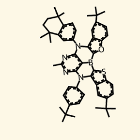 Cc1nc2c3c(n1)N(c1ccc(C(C)(C)C)cc1)c1c(sc4ccc(C(C)(C)C)cc14)B3c1oc3ccc(C(C)(C)C)cc3c1N2c1ccc2c(c1)C(C)(C)CCC2(C)C